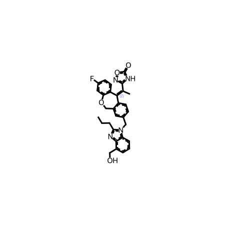 CCCc1nc2c(CO)cccc2n1Cc1ccc2c(c1)COc1cc(F)ccc1/C2=C(/C)c1noc(=O)[nH]1